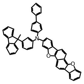 CC1(c2cccc(N(c3ccc(-c4ccccc4)cc3)c3ccc4c(c3)oc3c4ccc4c3ccc3c5ccccc5oc34)c2)c2ccccc2-c2ccccc21